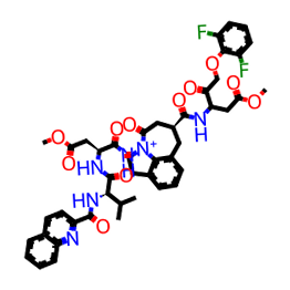 COC(=O)CC(NC(=O)[C@@H]1CC(=O)[N@+]2(NC(=O)[C@H](CC(=O)OC)NC(=O)[C@@H](NC(=O)c3ccc4ccccc4n3)C(C)C)CCc3cccc(c32)C1)C(=O)COc1c(F)cccc1F